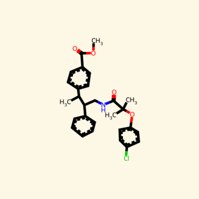 COC(=O)c1ccc(C(C)C(CNC(=O)C(C)(C)Oc2ccc(Cl)cc2)c2ccccc2)cc1